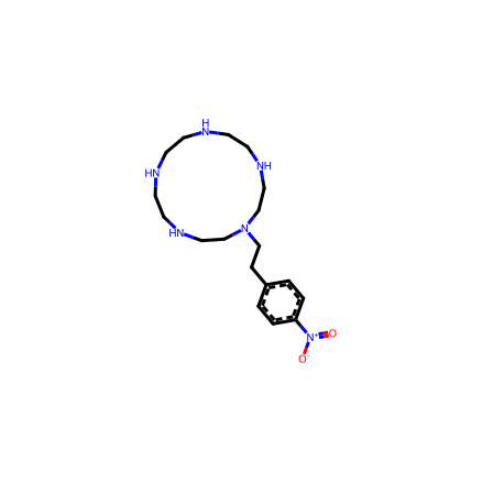 O=[N+]([O-])c1ccc(CCN2CCNCCNCCNCCNCC2)cc1